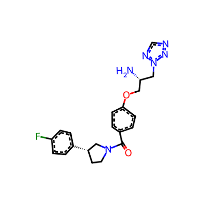 N[C@@H](COc1ccc(C(=O)N2CC[C@H](c3ccc(F)cc3)C2)cc1)Cn1ncnn1